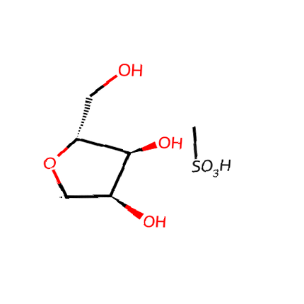 CS(=O)(=O)O.OC[C@H]1O[CH][C@H](O)[C@@H]1O